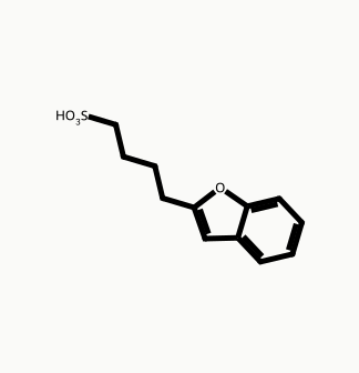 O=S(=O)(O)CCCCc1cc2ccccc2o1